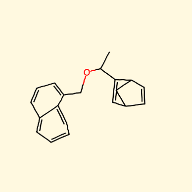 CC(OCc1cccc2ccccc12)C1=CC2C=CC1C2